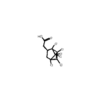 O=C(O)CC1CC2(Cl)C(Cl)=C(Cl)C1(Cl)C2(Cl)Cl